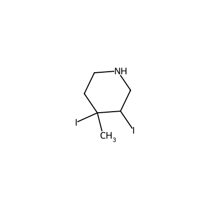 CC1(I)CCNCC1I